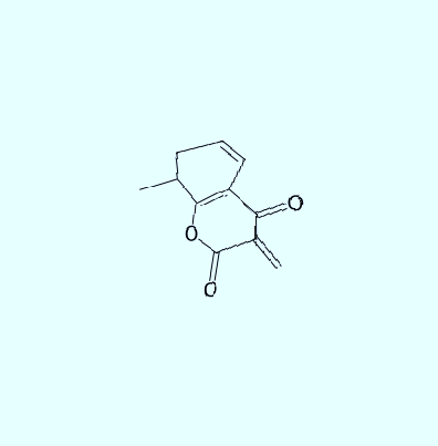 C=C1C(=O)OC2=C(C=CCC2C)C1=O